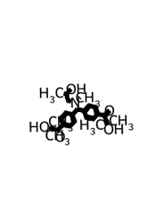 CC(O)CN(C)C(c1ccc(C(=O)C(C)(C)O)cc1)c1ccc(C(=O)C(C)(C)O)cc1